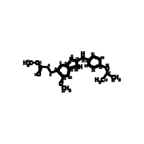 COC(=O)CCc1cc2nc(Nc3ccc(OC(C)C)cc3)[nH]c2cc1OC